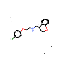 Clc1ccc(OCCNCC2CCOc3ccccc32)cc1